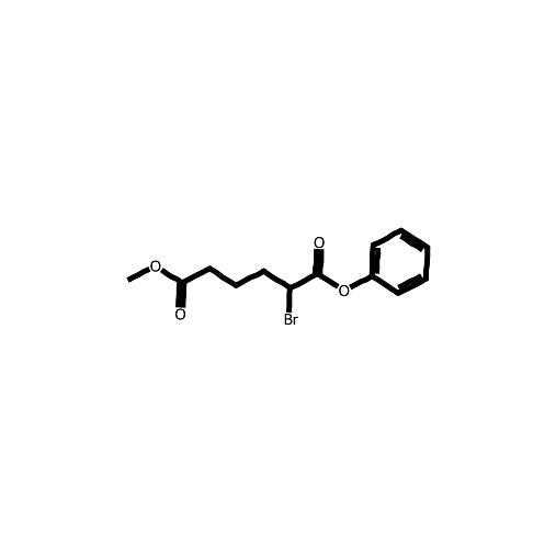 COC(=O)CCCC(Br)C(=O)Oc1ccccc1